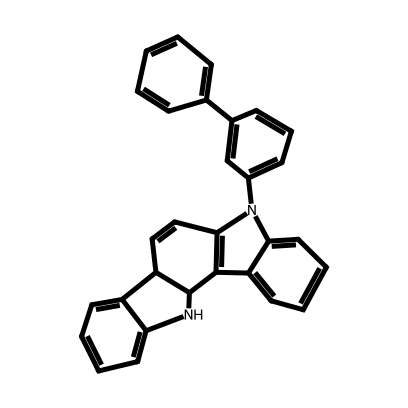 C1=CC2c3ccccc3NC2c2c1n(-c1cccc(-c3ccccc3)c1)c1ccccc21